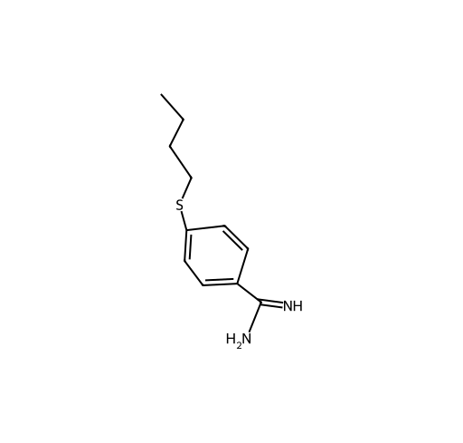 CCCCSc1ccc(C(=N)N)cc1